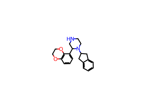 c1ccc2c(c1)CC(N1CCNCC1c1cccc3c1OCCO3)C2